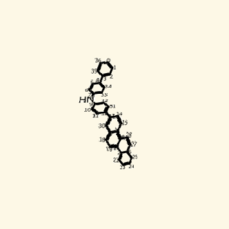 c1ccc(-c2ccc(Nc3ccc(-c4ccc5c(ccc6c7ccccc7ccc56)c4)cc3)cc2)cc1